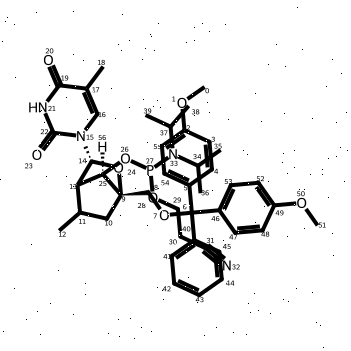 COc1ccc(C(OC[C@]23CC(C)C([C@H](n4cc(C)c(=O)[nH]c4=O)O2)[C@H]3OP(OCCC#N)N(C(C)C)C(C)C)(c2ccccc2)c2ccc(OC)cc2)cc1